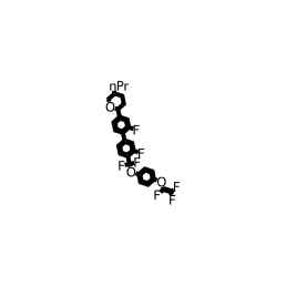 CCCC1CCC(c2ccc(-c3ccc(C(F)(F)Oc4ccc(OC(F)=C(F)F)cc4)c(F)c3)c(F)c2)OC1